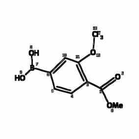 COC(=O)c1ccc(B(O)O)cc1OC(F)(F)F